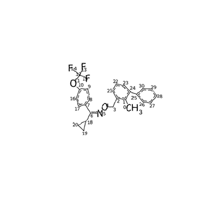 Cc1c(CON=C(c2ccc(OC(F)(F)F)cc2)C2CC2)cccc1-c1ccccc1